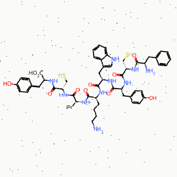 CC(C)[C@H](NC(=O)[C@H](CCCCN)NC(=O)[C@@H](Cc1c[nH]c2ccccc12)NC(=O)[C@H](Cc1ccc(O)cc1)NC(=O)[C@H](CS)NC(=O)[C@H](N)Cc1ccccc1)C(=O)N[C@@H](CS)C(=O)N[C@@H](Cc1ccc(O)cc1)C(=O)O